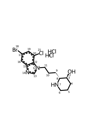 Cl.Cl.O[C@H]1CCCN[C@@H]1CCCn1cnc2cc(Br)cc(Cl)c21